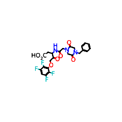 O=C(O)CC(NC(=O)CN1CC(=O)N(Cc2ccccc2)CC1=O)C(=O)COc1c(F)c(F)cc(F)c1F